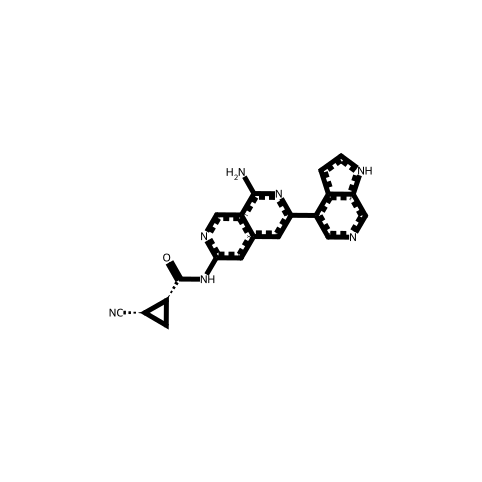 N#C[C@H]1C[C@H]1C(=O)Nc1cc2cc(-c3cncc4[nH]ccc34)nc(N)c2cn1